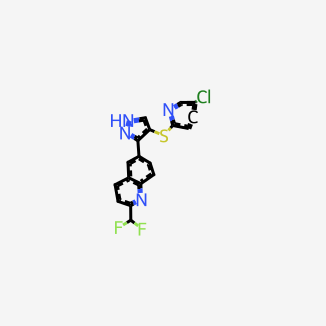 FC(F)c1ccc2cc(-c3n[nH]cc3Sc3ccc(Cl)cn3)ccc2n1